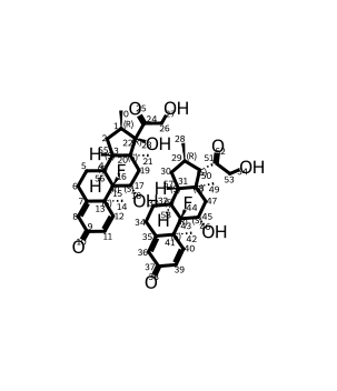 C[C@@H]1C[C@H]2[C@@H]3CCC4=CC(=O)C=C[C@]4(C)[C@@]3(F)[C@@H](O)C[C@]2(C)[C@@]1(O)C(=O)CO.C[C@@H]1C[C@H]2[C@@H]3CCC4=CC(=O)C=C[C@]4(C)[C@@]3(F)[C@@H](O)C[C@]2(C)[C@H]1C(=O)CO